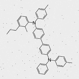 CCCC1=C=CC=C(N(c2ccc(C)cc2)c2ccc(-c3ccc(N(c4ccccc4)c4ccc(C)cc4)cc3)cc2)C1C